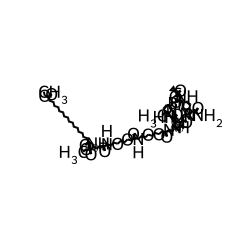 COC(=O)CCCCCCCCCCCCCCCCC(=O)N[C@@H](CCC(=O)NCCOCCOCC(=O)NCCOCCOCC(=O)NC[C@@]12C[C@@H](C(=O)Nc3nc(Br)ccc3C)N(C(=O)Cn3nc(C(N)=O)c4ccc(C(=O)NS(=O)(=O)C5CC5)cc43)[C@@H]1C2)C(=O)OC